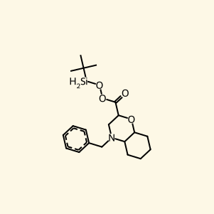 CC(C)(C)[SiH2]OOC(=O)C1CN(Cc2ccccc2)C2CCCCC2O1